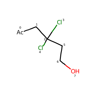 CC(=O)CC(Cl)(Cl)CCO